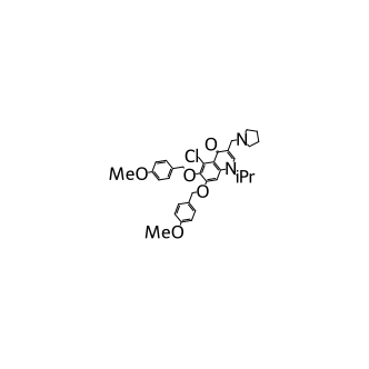 COc1ccc(COc2cc3c(c(Cl)c2OCc2ccc(OC)cc2)c(=O)c(CN2CCCC2)cn3C(C)C)cc1